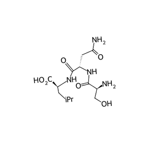 CC(C)C[C@H](NC(=O)[C@H](CC(N)=O)NC(=O)[C@@H](N)CO)C(=O)O